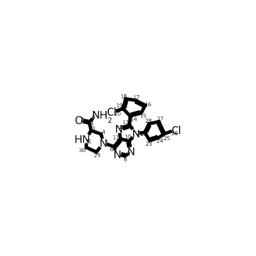 NC(=O)C1CN(c2ncnc3c2nc(-c2ccccc2Cl)n3-c2ccc(Cl)cc2)CCN1